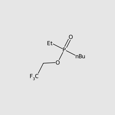 CCCCP(=O)(CC)OCC(F)(F)F